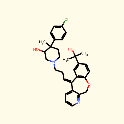 CC(C)(O)c1ccc2c(c1)/C(=C\CCN1CCC(C)(c3ccc(Cl)cc3)C(O)C1)c1cccnc1CO2